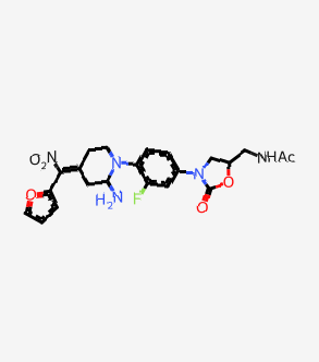 CC(=O)NCC1CN(c2ccc(N3CCC(=C(c4ccco4)[N+](=O)[O-])CC3N)c(F)c2)C(=O)O1